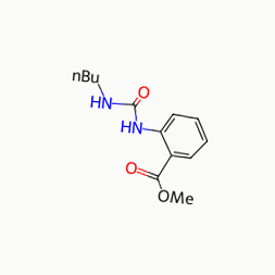 CCCCNC(=O)Nc1ccccc1C(=O)OC